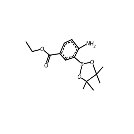 CCOC(=O)c1ccc(N)c(B2OC(C)(C)C(C)(C)O2)c1